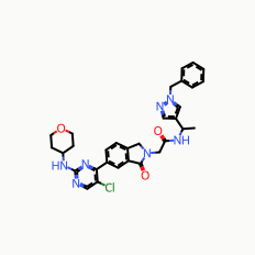 CC(NC(=O)CN1Cc2ccc(-c3nc(NC4CCOCC4)ncc3Cl)cc2C1=O)c1cnn(Cc2ccccc2)c1